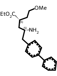 CCOC(=O)[C@H](CCOC)C[C@H](N)Cc1ccc(-c2ccccc2)cc1